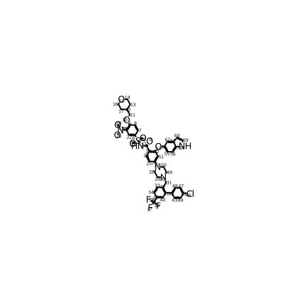 O=C(NS(=O)(=O)c1ccc(OCC2CCOCC2)c([N+](=O)[O-])c1)c1ccc(N2CCN(Cc3ccc(C(F)(F)F)cc3-c3ccc(Cl)cc3)CC2)cc1Oc1ccc2[nH]ccc2c1